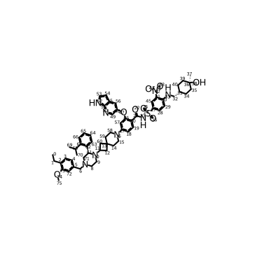 CCc1ccc(CN2CCN(C3CC4(CCN(c5ccc(C(=O)NS(=O)(=O)c6ccc(NC[C@H]7CC[C@](C)(O)CC7)c([N+](=O)[O-])c6)c(Oc6cnc7[nH]ccc7c6)c5)CC4)C3)[C@H](c3ccccc3C(C)C)C2)cc1OC